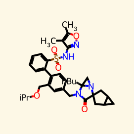 CCCCC12CN1C1(CC3CC3C1)C(=O)N2Cc1ccc(-c2ccccc2S(=O)(=O)Nc2noc(C)c2C)c(COC(C)C)c1